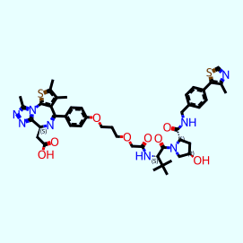 Cc1ncsc1-c1ccc(CNC(=O)[C@@H]2C[C@@H](O)CN2C(=O)[C@@H](NC(=O)COCCCOc2ccc(C3=N[C@@H](CC(=O)O)c4nnc(C)n4-c4sc(C)c(C)c43)cc2)C(C)(C)C)cc1